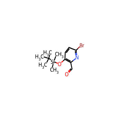 CC(C)(C)[Si](C)(C)Oc1ccc(Br)nc1C=O